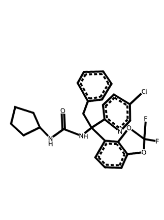 O=C(NC1CCCC1)NC(Cc1ccccc1)(c1ccc(Cl)cn1)c1cccc2c1OC(F)(F)O2